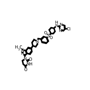 Cn1nc(N2CCC(=O)NC2=O)c2ccc(C3CCN(Cc4cccc(S(=O)(=O)C5CCC(Nc6ncc(Cl)cn6)CC5)c4)CC3)cc21